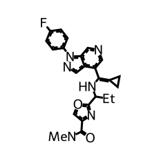 CCC(NC(=C1CC1)c1cncc2c1cnn2-c1ccc(F)cc1)c1nc(C(=O)NC)co1